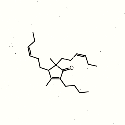 CC/C=C\CCC1C(C)=C(CCCC)C(=O)C1(C)CC/C=C\CC